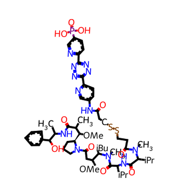 CCC(C)C(C(CC(=O)N1CCC[C@H]1C(OC)C(C)C(=O)NC(C)C(O)c1ccccc1)OC)N(C)C(=O)C(NC(=O)C(C(C)C)N(C)C(=O)CCSSCCC(=O)Nc1ccc(-c2nnc(-c3ccc(P(=O)(O)O)cn3)nn2)nc1)C(C)C